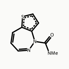 CNC(=O)N1N=CC=Cc2sccc21